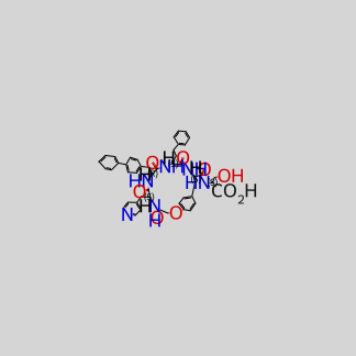 O=C1COc2ccc(cc2)C[C@@H](C(=O)N[C@@H](CO)C(=O)O)NC(=O)[C@H](CCc2ccccc2)NC(=O)[C@@H](Cc2ccc(-c3ccccc3)cc2)NC(=O)[C@H](Cc2ccncc2)N1